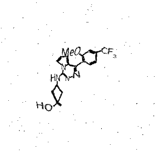 COc1cc(C(F)(F)F)ccc1-c1nnc(NC2CC(C)(O)C2)n2cccc12